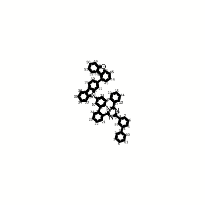 c1ccc(-c2cccc(-c3nc(-c4ccccc4)nc(-c4ccccc4-c4cccc(-n5c6ccccc6c6ccc(-c7cccc8oc9ccccc9c78)cc65)c4)n3)c2)cc1